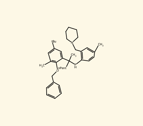 CCCCCC(C)(Pc1ccc(C)cc1CN1CCCCC1)c1cc(C(C)(C)C)cc(C)c1OCc1ccccc1